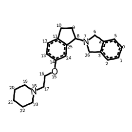 c1ccc2c(c1)CN(C1CCc3ccc(OCCN4CCCCC4)cc31)C2